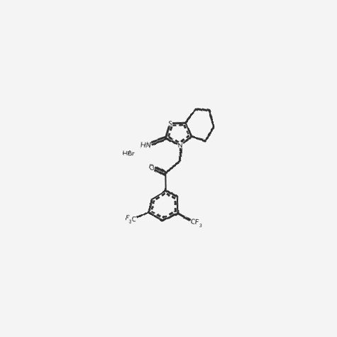 Br.N=c1sc2c(n1CC(=O)c1cc(C(F)(F)F)cc(C(F)(F)F)c1)CCCC2